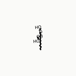 CCCCCCCCCCCCOCCO.OCCO